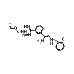 N=C(/N=N\NCOC=O)c1ccnc(/C(N)=C/NCc2ccccc2Cl)c1